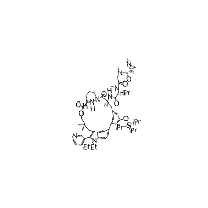 CCc1ccncc1-c1c2c3cc(ccc3n1CC)-c1cc(cc(O[Si](C(C)C)(C(C)C)C(C)C)c1)C[C@H](NC(=O)[C@H](C(C)C)N(C)C(=O)CN(C)C(=O)[C@H]1CN1C)C(=O)N1CCC[C@H](N1)C(=O)OCC(C)(C)C2